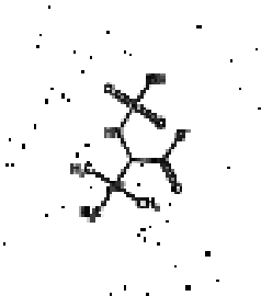 C[N+](C)(C)C(NS(=O)(=O)O)C(=O)[O-]